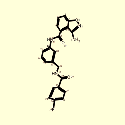 Nc1noc2cccc(C(=O)Nc3cccc(CNC(=O)c4ccc(F)cc4)c3)c12